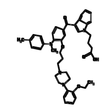 CCOc1ccccc1N1CCN(CCCOc2cc(C(=O)c3cn(CCCC(=O)O)c4ccccc34)ccc2N(C)c2ccc(C)cc2)CC1